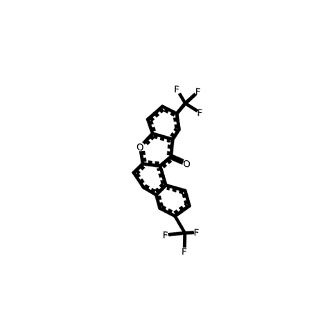 O=c1c2cc(C(F)(F)F)ccc2oc2ccc3cc(C(F)(F)F)ccc3c12